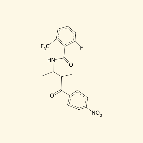 CC(NC(=O)c1c(F)cccc1C(F)(F)F)C(C)C(=O)c1ccc([N+](=O)[O-])cc1